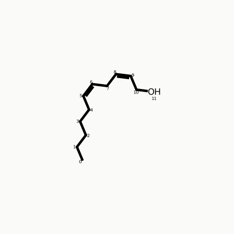 CCCCC/C=C\C/C=C\CO